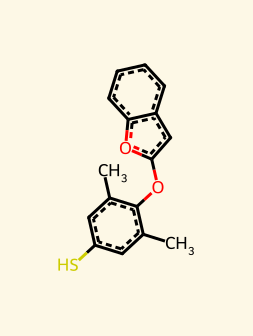 Cc1cc(S)cc(C)c1Oc1cc2ccccc2o1